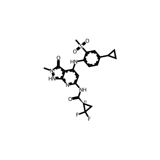 Cn1[nH]c2nc(NC(=O)[C@H]3CC3(F)F)cc(Nc3ccc(C4CC4)cc3S(C)(=O)=O)c2c1=O